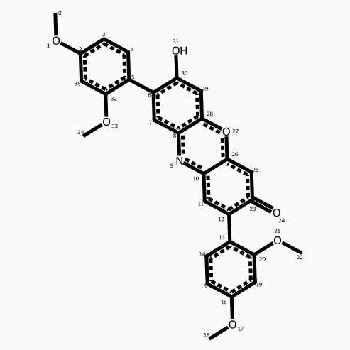 COc1ccc(-c2cc3nc4cc(-c5ccc(OC)cc5OC)c(=O)cc-4oc3cc2O)c(OC)c1